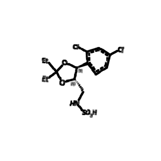 CCC1(CC)O[C@@H](CNS(=O)(=O)O)[C@H](c2ccc(Cl)cc2Cl)O1